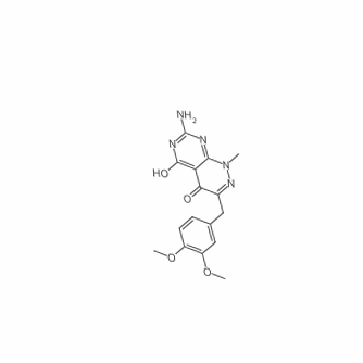 COc1ccc(Cc2nn(C)c3nc(N)nc(O)c3c2=O)cc1OC